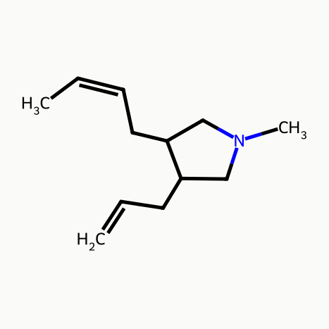 C=CCC1CN(C)CC1C/C=C\C